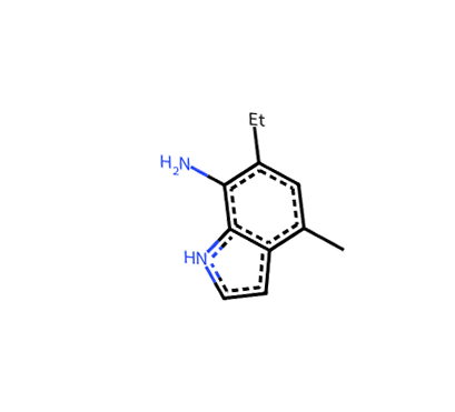 CCc1cc(C)c2cc[nH]c2c1N